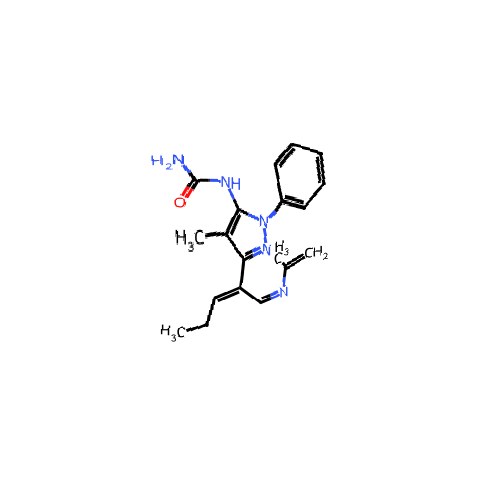 C=C(C)/N=C\C(=C/CC)c1nn(-c2ccccc2)c(NC(N)=O)c1C